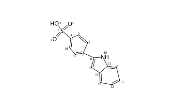 O=S(=O)(O)c1ccc(-c2cc3ccccc3[nH]2)cc1